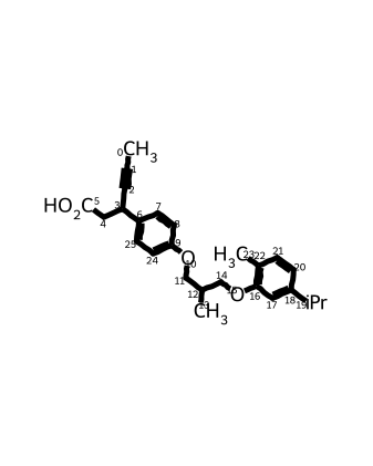 CC#CC(CC(=O)O)c1ccc(OCC(C)COc2cc(C(C)C)ccc2C)cc1